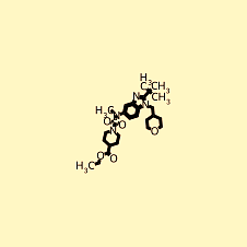 CCOC(=O)C1CCN(S(=O)(=O)N(C)c2ccc3c(c2)nc(C(C)(C)C)n3CC2CCOCC2)CC1